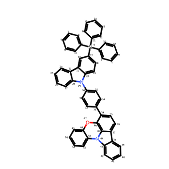 c1ccc([Si](c2ccccc2)(c2ccccc2)c2ccc3c(c2)c2ccccc2n3-c2ccc(-c3ccc4c5ccccc5n5c4c3Oc3ccccc3-5)cc2)cc1